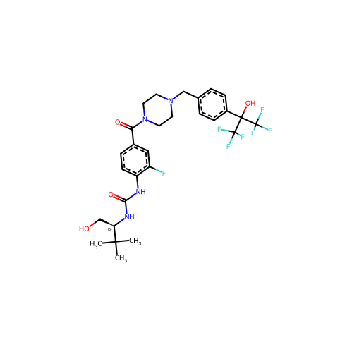 CC(C)(C)[C@@H](CO)NC(=O)Nc1ccc(C(=O)N2CCN(Cc3ccc(C(O)(C(F)(F)F)C(F)(F)F)cc3)CC2)cc1F